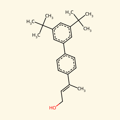 C/C(=C\CO)c1ccc(-c2cc(C(C)(C)C)cc(C(C)(C)C)c2)cc1